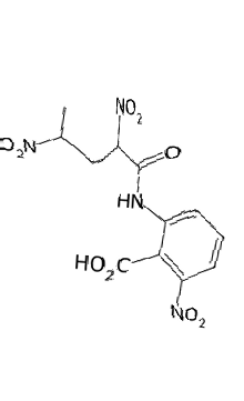 CC(CC(C(=O)Nc1cccc([N+](=O)[O-])c1C(=O)O)[N+](=O)[O-])[N+](=O)[O-]